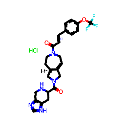 Cl.O=C(/C=C/c1ccc(OC(F)(F)F)cc1)N1CC=C2CN(C(=O)C3Cc4[nH]cnc4CN3)C[C@H]2CC1